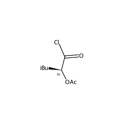 CCC(C)[C@H](OC(C)=O)C(=O)Cl